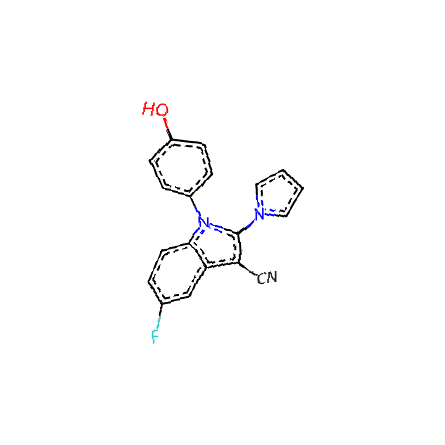 N#Cc1c(-n2cccc2)n(-c2ccc(O)cc2)c2ccc(F)cc12